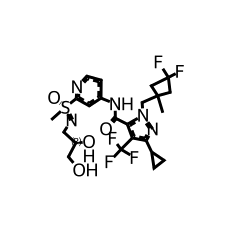 CC1(Cn2nc(C3CC3)c(C(F)(F)F)c2C(=O)Nc2ccnc(S(C)(=O)=NC[C@@H](O)CO)c2)CC(F)(F)C1